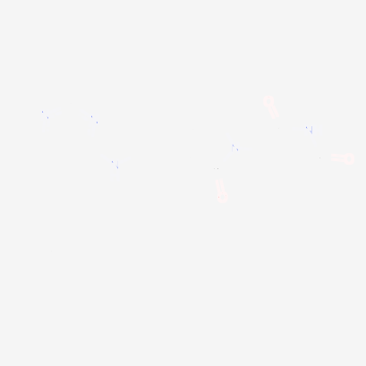 O=C1CCC(N2Cc3ccc(Nc4ncnc5ccc(C6CCC6)cc45)cc3C2=O)C(=O)N1